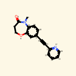 CN1C(=O)CCOc2cc(C#Cc3ccccn3)ccc21